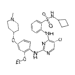 CCOc1cc(OC2CCN(C)CC2)ccc1Nc1ncc(Cl)c(Nc2ccccc2S(=O)(=O)NC2CCC2)n1